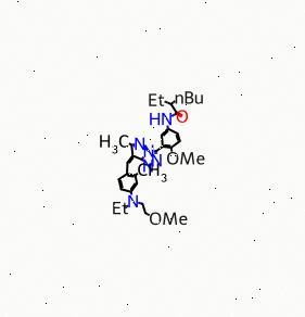 CCCCC(CC)C(=O)Nc1ccc(OC)c(-c2nnc3/c(=C\c4ccc(N(CC)CCOC)cc4C)c(C)nn23)c1